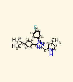 CC1CCNC(Cc2nc(-c3ccc(C(C)C)cc3)n(-c3ccc(F)cc3)n2)C1